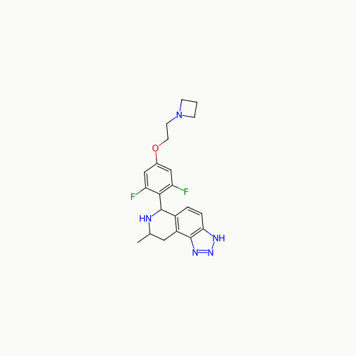 CC1Cc2c(ccc3[nH]nnc23)C(c2c(F)cc(OCCN3CCC3)cc2F)N1